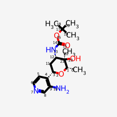 C[C@@H]1O[C@H](c2ccncc2N)C[C@H](NC(=O)OC(C)(C)C)[C@@]1(C)O